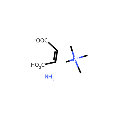 C[N+](C)(C)C.N.O=C([O-])/C=C\C(=O)O